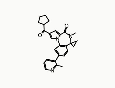 Cc1ncccc1-c1ccc2c(c1)-n1cc(C(=O)C3CCCC3)cc1C(=O)N(C)C21CC1